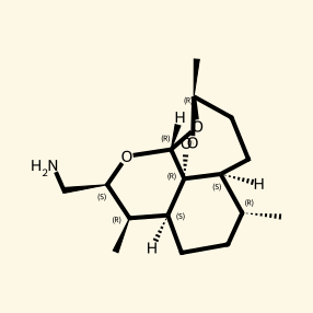 C[C@H]1[C@@H](CN)O[C@@H]2O[C@@]3(C)CC[C@H]4[C@H](C)CC[C@@H]1[C@@]24OO3